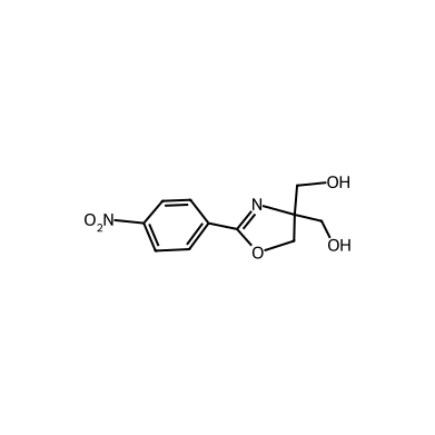 O=[N+]([O-])c1ccc(C2=NC(CO)(CO)CO2)cc1